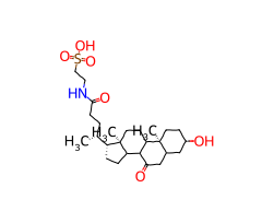 C[C@H](CCC(=O)NCCS(=O)(=O)O)[C@H]1CCC2C3C(=O)CC4C[C@H](O)CC[C@]4(C)C3CC[C@@]21C